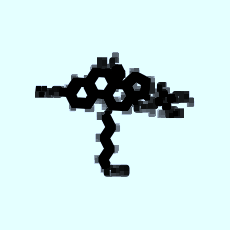 C=CC12CCc3cc(OC)ccc3C1[C@@H](CCCCCC=O)C[C@@]1(C)C2CC[C@@H]1O[Si](C)(C)C(C)(C)C